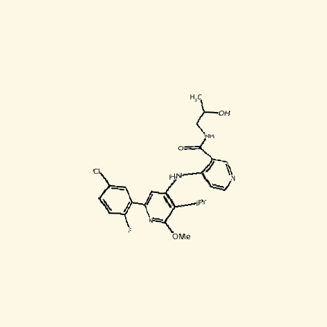 COc1nc(-c2cc(Cl)ccc2F)cc(Nc2ccncc2C(=O)NCC(C)O)c1C(C)C